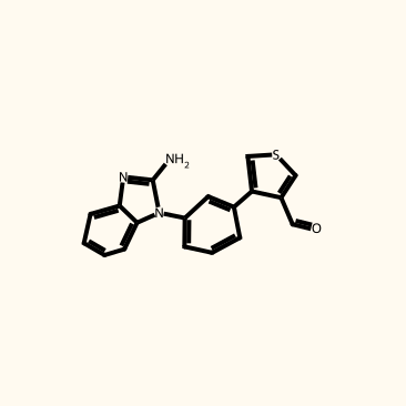 Nc1nc2ccccc2n1-c1cccc(-c2cscc2C=O)c1